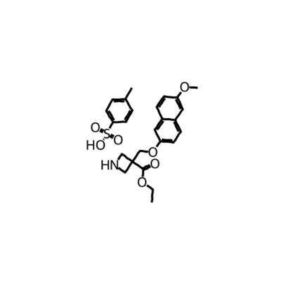 CCOC(=O)C1(COc2ccc3cc(OC)ccc3c2)CNC1.Cc1ccc(S(=O)(=O)O)cc1